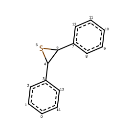 c1ccc(C2SC2c2ccccc2)cc1